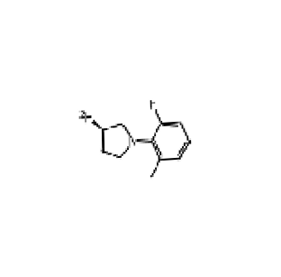 [2H][C@@H]1CCN(c2c(C)cccc2F)C1